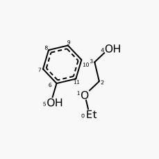 CCOCCO.Oc1ccccc1